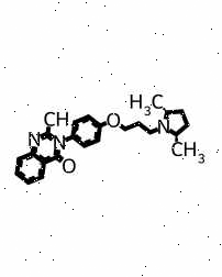 Cc1nc2ccccc2c(=O)n1-c1ccc(OCCCN2[C@H](C)CC[C@H]2C)cc1